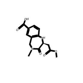 COC(=O)C[C@@H]1Nc2ccc(C(=O)O)cc2CN(C)C1=O